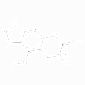 COc1c2c(cc3c1OCO3)CC(=O)N(C)C2